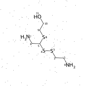 NCCSSC(CN)SCCO